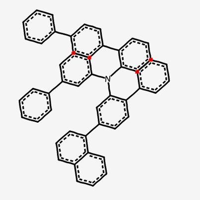 c1ccc(-c2ccc(-c3ccccc3N(c3cccc(-c4ccccc4)c3)c3cc(-c4cccc5ccccc45)ccc3-c3ccccc3)cc2)cc1